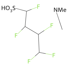 CNC.O=S(=O)(O)C(F)C(F)C(F)C(F)F